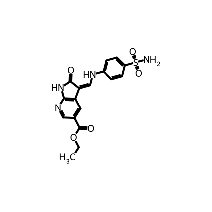 CCOC(=O)c1cnc2c(c1)C(=CNc1ccc(S(N)(=O)=O)cc1)C(=O)N2